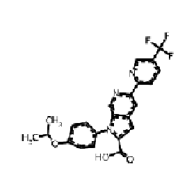 CC(C)Oc1ccc(-n2c(C(=O)O)cc3cc(-c4ccc(C(F)(F)F)cn4)ncc32)cc1